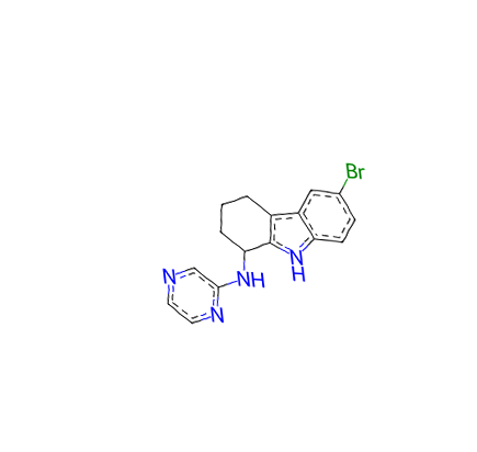 Brc1ccc2[nH]c3c(c2c1)CCCC3Nc1cnccn1